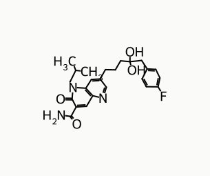 CC(C)Cn1c(=O)c(C(N)=O)cc2ncc(CCCC(O)(O)Cc3ccc(F)cc3)cc21